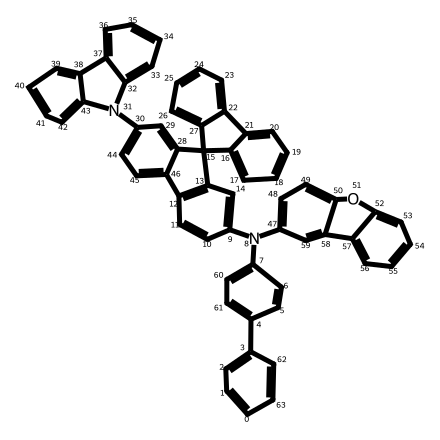 c1ccc(-c2ccc(N(c3ccc4c(c3)C3(c5ccccc5-c5ccccc53)c3cc(-n5c6ccccc6c6ccccc65)ccc3-4)c3ccc4oc5ccccc5c4c3)cc2)cc1